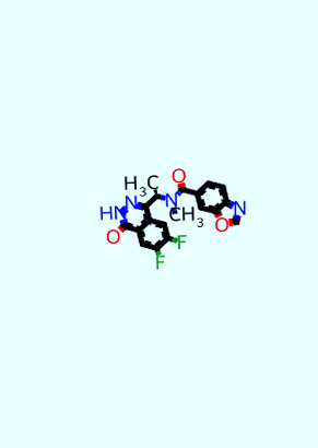 C[C@H](c1n[nH]c(=O)c2cc(F)c(F)cc12)N(C)C(=O)c1ccc2ncoc2c1